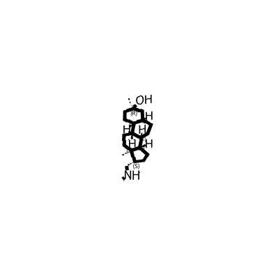 CNC[C@H]1CC[C@H]2[C@@H]3CC[C@@H]4C[C@](C)(O)CC[C@@H]4[C@H]3CC[C@]12C